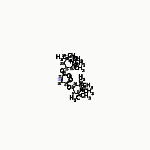 CN1C(C)(C)CC(OC(=O)/C=C\C(=O)OC2CC(C)(C)N(C)C(C)(C)C2)CC1(C)C